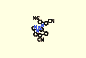 N#Cc1cccc(-c2ccccc2-c2cc(-n3c4ccc(C#N)cc4c4cc(C#N)ccc43)nc(-n3c4ccccc4c4cccnc43)c2)c1